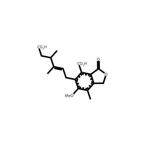 COc1c(C)c2c(c(C(=O)O)c1C/C=C(\C)C(C)CC(=O)O)C(=O)OC2